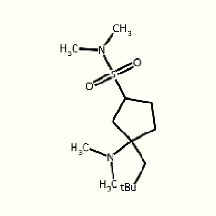 CN(C)C1(CC(C)(C)C)CCC(S(=O)(=O)N(C)C)C1